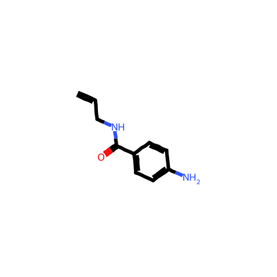 C=CCNC(=O)c1ccc(N)cc1